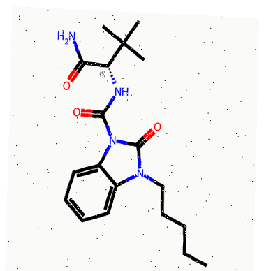 CCCCCn1c(=O)n(C(=O)N[C@H](C(N)=O)C(C)(C)C)c2ccccc21